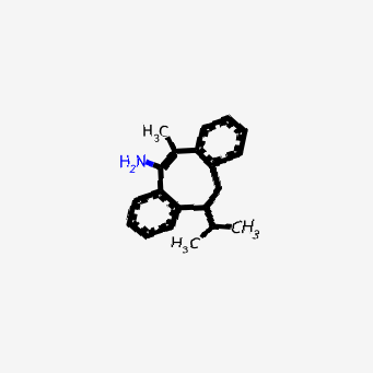 C/C1=C(\N)c2ccccc2C(C(C)C)Cc2ccccc21